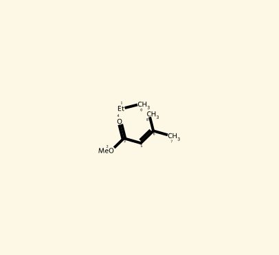 CCC.COC(=O)C=C(C)C